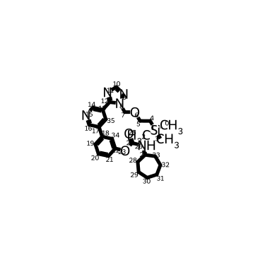 C[Si](C)(C)CCOCn1ncnc1-c1cncc(-c2cccc(OC(=O)NC3CCCCCC3)c2)c1